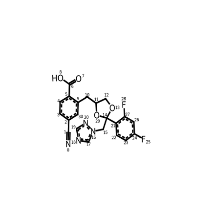 N#Cc1ccc(C(=O)O)c(CC2COC(Cn3cncn3)(c3ccc(F)cc3F)O2)c1